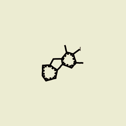 Cc1cc2c(c(C)c1I)Cc1ccccc1-2